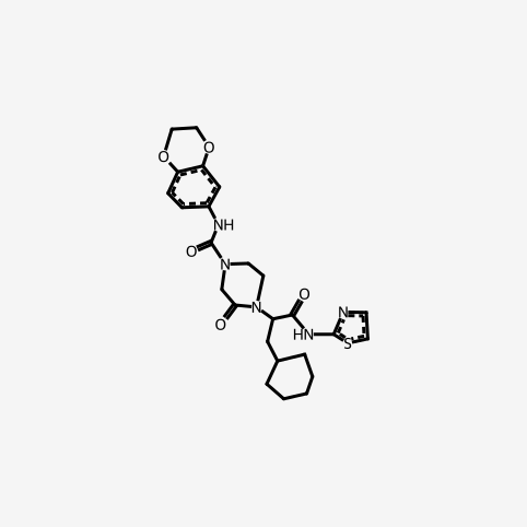 O=C(Nc1nccs1)C(CC1CCCCC1)N1CCN(C(=O)Nc2ccc3c(c2)OCCO3)CC1=O